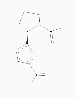 CC(=O)N1CCC[C@@H]1c1nc(C(=O)O)co1